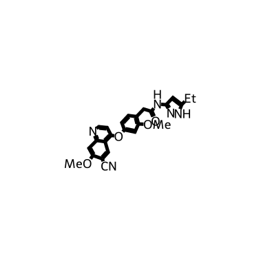 CCc1cc(NC(=O)Cc2ccc(Oc3ccnc4cc(OC)c(C#N)cc34)cc2OC)n[nH]1